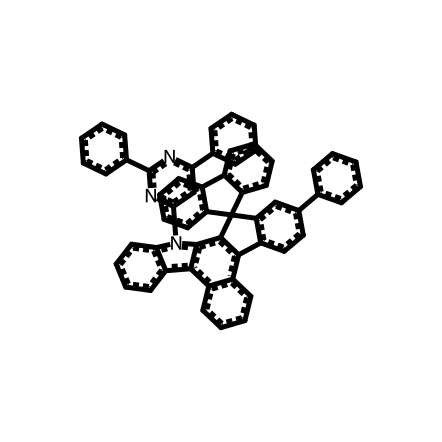 c1ccc(-c2ccc3c(c2)C2(c4ccccc4-c4ccccc42)c2c-3c3ccccc3c3c4ccccc4n(-c4cc(-c5ccccc5)nc(-c5ccccc5)n4)c23)cc1